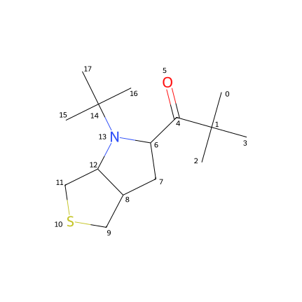 CC(C)(C)C(=O)C1CC2CSCC2N1C(C)(C)C